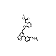 CCOC(=O)Cc1ccccc1OCCc1cc(-c2cccc(CN)c2)c2occc2c1